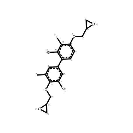 Cc1cc(-c2ccc(OCC3CO3)c(I)c2S)cc(S)c1OCC1CO1